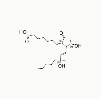 CCCCC[C@](C)(O)C=CC1[C@H](O)CC(=O)[C@@H]1CCCCCCC(=O)O